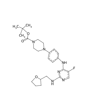 CC(C)(C)OC(=O)N1CCN(c2ccc(Nc3nc(NCC4CCCO4)ncc3F)cc2)CC1